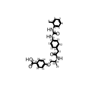 Cc1ccccc1NC(=O)Nc1ccc(CC(=O)N[C@@H](C)COc2ccc(C(=O)O)cc2)cc1